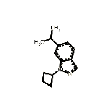 CC(C)c1ccc2cnn(C3CCC3)c2c1